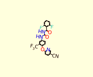 N#Cc1ccc(Oc2ccc(NC(=O)NC(=O)c3c(F)cccc3F)cc2C(F)(F)F)nc1